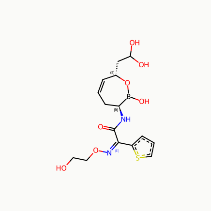 O=C(N[C@H]1CC=C[C@H](CC(O)O)OB1O)/C(=N\OCCO)c1cccs1